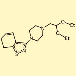 CCOC(CN1CCN(c2nsc3c2C=CCC3)CC1)OCC